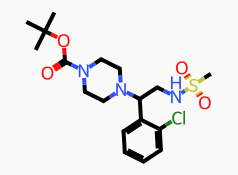 CC(C)(C)OC(=O)N1CCN(C(CNS(C)(=O)=O)c2ccccc2Cl)CC1